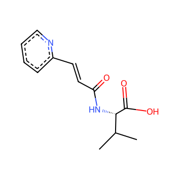 CC(C)[C@H](NC(=O)C=Cc1ccccn1)C(=O)O